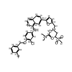 CN(C)C(=O)ON(CCS(C)(=O)=O)Cc1ccc(-c2ccc3ncnc(Nc4ccc(OCc5cccc(F)c5)c(Cl)c4)c3c2)o1